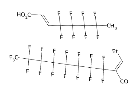 CC(F)(F)C(F)(F)C(F)(F)C(F)(F)C=CC(=O)O.CCC=C(C(=O)O)C(F)(F)C(F)(F)C(F)(F)C(F)(F)C(F)(F)C(F)(F)C(F)(F)C(F)(F)F